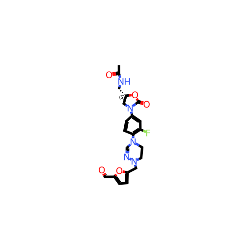 CC(=O)NC[C@H]1CN(c2ccc(N3C=NN(Cc4ccc(C=O)o4)CC3)c(F)c2)C(=O)O1